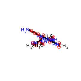 CC(=O)C(=O)NCCCCC(NC(=O)C(C)=O)C(=O)NCCCCC(NC(=O)C(CCCCNC(=O)C(C)=O)NC(=O)C(C)=O)C(=O)NCCOCCOCCOCCN